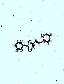 C(=Cc1ccccn1)C1=COC(c2ccccc2)O1